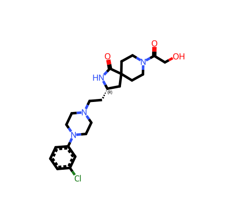 O=C(CO)N1CCC2(CC1)C[C@H](CCN1CCN(c3cccc(Cl)c3)CC1)NC2=O